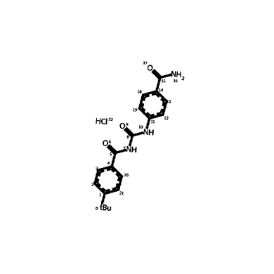 CC(C)(C)c1ccc(C(=O)NC(=O)Nc2ccc(C(N)=O)cc2)cc1.Cl